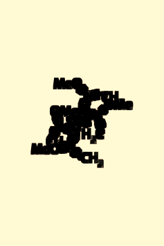 C=Cc1ccc(N(c2ccc(OC)cc2)c2ccc3c(c2)c2cc(N(c4ccc(C=C)cc4)c4ccc(OC)cc4)ccc2n3Cc2c3ccccc3c(Cn3c4ccc(N(c5ccc(C=C)cc5)c5ccc(OC)cc5)cc4c4cc(N(c5ccc(C=C)cc5)c5ccc(OC)cc5)ccc43)c3ccccc23)cc1